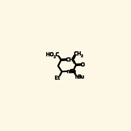 C=C(CC(CC)CCCC)C(=O)O.C=CC(=O)OCCCC